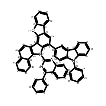 c1ccc(-c2nc(-n3c4c(-c5ccc6c(c5)c5ccccc5n6-c5ccccc5)cc5c6ccccc6oc5c4c4ccc5ccccc5c43)nc3ccccc23)cc1